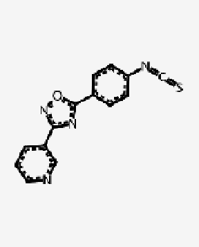 S=C=Nc1ccc(-c2nc(-c3cccnc3)no2)cc1